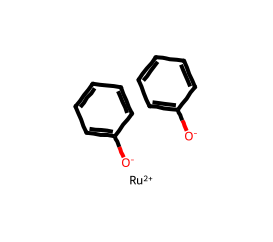 [O-]c1ccccc1.[O-]c1ccccc1.[Ru+2]